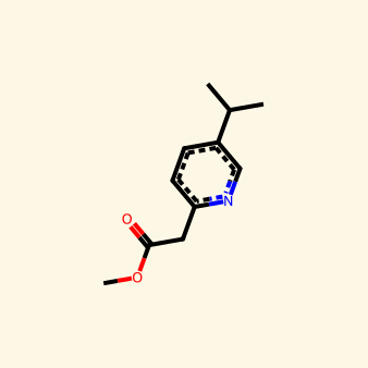 COC(=O)Cc1ccc(C(C)C)cn1